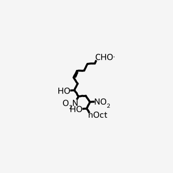 CCCCCCCCC(O)C(CC(C(O)C/C=C\CCC[C]=O)[N+](=O)[O-])[N+](=O)[O-]